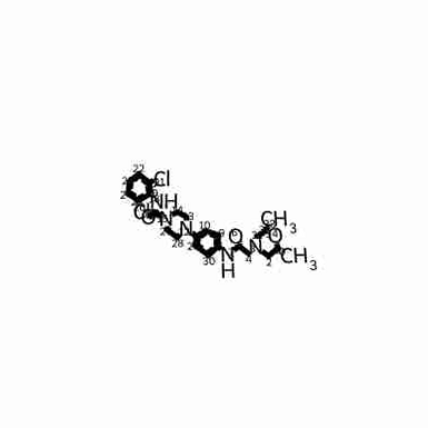 CC1CN(CC(=O)Nc2ccc(N3CCN(C(=O)Nc4c(Cl)cccc4Cl)CC3)cc2)CC(C)O1